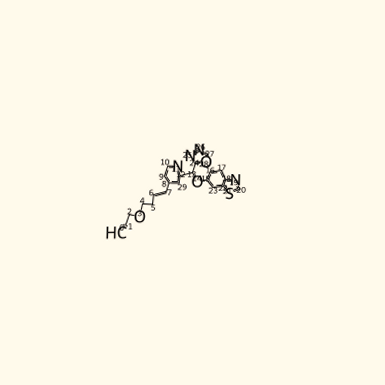 C#CCOCC/C=C/c1ccnc(C(Oc2ccc3ncsc3c2)c2nnco2)c1